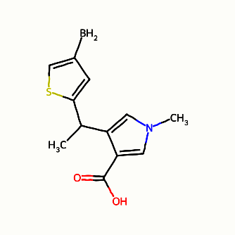 Bc1csc(C(C)c2cn(C)cc2C(=O)O)c1